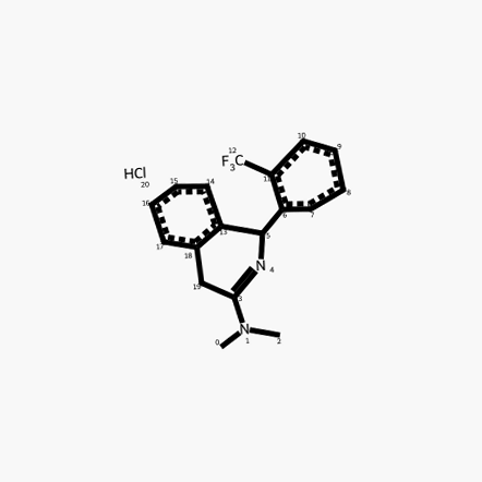 CN(C)C1=NC(c2ccccc2C(F)(F)F)c2ccccc2C1.Cl